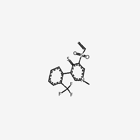 C=CS(=O)(=O)c1cn(C)cc(-c2ccccc2C(F)(F)F)c1=S